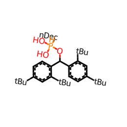 CCCCCCCCCC[PH](O)(O)OC(c1ccc(C(C)(C)C)cc1C(C)(C)C)c1ccc(C(C)(C)C)cc1C(C)(C)C